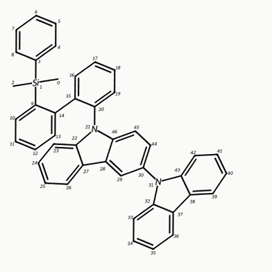 C[Si](C)(c1ccccc1)c1ccccc1-c1ccccc1-n1c2ccccc2c2cc(-n3c4ccccc4c4ccccc43)ccc21